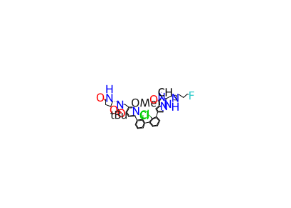 COc1nc(-c2cccc(-c3cccc(-c4cc5c(=O)n(C)c(CNCCCF)nn5c4)c3Cl)c2Cl)ccc1CN(C[C@@H]1CCC(=O)N1)C(=O)OC(C)(C)C